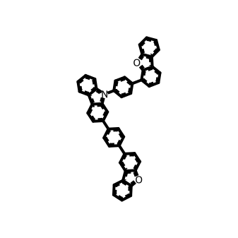 c1ccc2c(c1)oc1ccc(-c3ccc(-c4ccc5c6ccccc6n(-c6ccc(-c7cccc8c7oc7ccccc78)cc6)c5c4)cc3)cc12